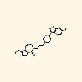 O=C1c2ccn(CI)c2C=CCN1CCCN1CCC(c2noc3cc(F)ccc23)CC1